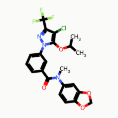 CC(C)Oc1c(Cl)c(C(F)(F)F)nn1-c1cccc(C(=O)N(C)c2ccc3c(c2)OCO3)c1